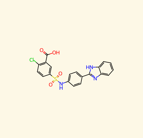 O=C(O)c1cc(S(=O)(=O)Nc2ccc(-c3nc4ccccc4[nH]3)cc2)ccc1Cl